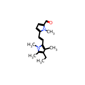 CCc1c(C)c(C=Cc2ccc(C=O)n2C)n(C)c1C